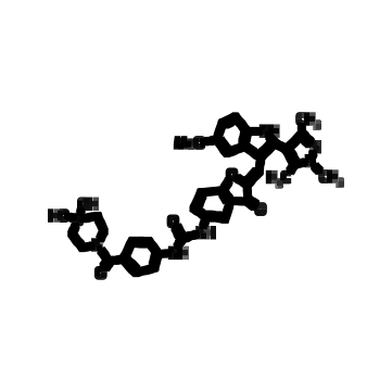 COc1ccc2[nH]c(-c3c(C)nn(C)c3C)c(C=C3Oc4ccc(NC(=O)Nc5ccc(C(=O)N6CCS(O)(O)CC6)cc5)cc4C3=O)c2c1